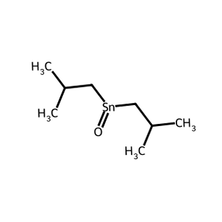 CC(C)[CH2][Sn](=[O])[CH2]C(C)C